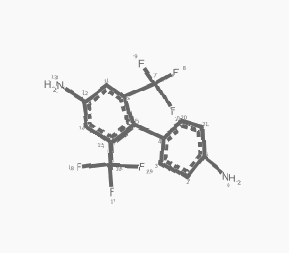 Nc1ccc(-c2c(C(F)(F)F)cc(N)cc2C(F)(F)F)cc1